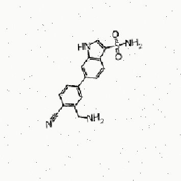 N#Cc1ccc(-c2ccc3c(S(N)(=O)=O)c[nH]c3c2)cc1CN